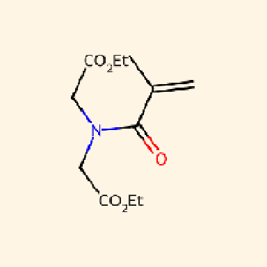 C=C(C)C(=O)N(CC(=O)OCC)CC(=O)OCC